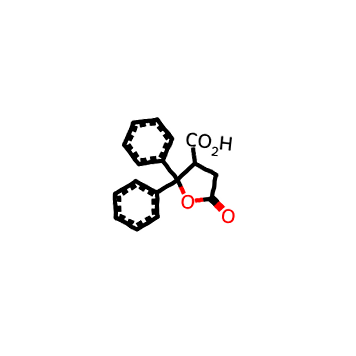 O=C1CC(C(=O)O)C(c2ccccc2)(c2ccccc2)O1